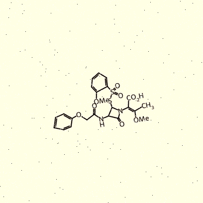 CO/C(C)=C(/C(=O)O)N1C(=O)C(NC(=O)COc2ccccc2)C1SS(=O)(=O)c1ccccc1OC